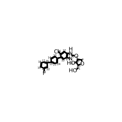 OC[C@H]1OC[C@@H](Oc2nc3cc(-c4ccc(-c5cccc(F)c5)cc4)c(Cl)cc3[nH]2)[C@@H]1O